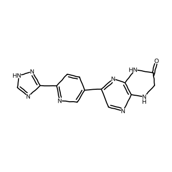 O=C1CNc2ncc(-c3ccc(-c4nc[nH]n4)nc3)nc2N1